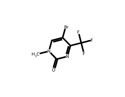 Cn1cc(Br)c(C(F)(F)F)nc1=O